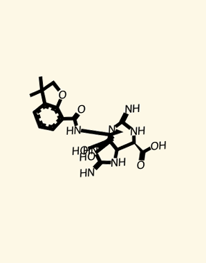 CC1(C)COc2c(C(=O)NC3CN4C(=N)N[C@@H](C(=O)O)C5NC(=N)NC54C3(O)O)cccc21